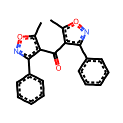 Cc1onc(-c2ccccc2)c1C(=O)c1c(-c2ccccc2)noc1C